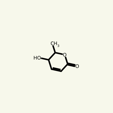 CC1OC(=O)C=CC1O